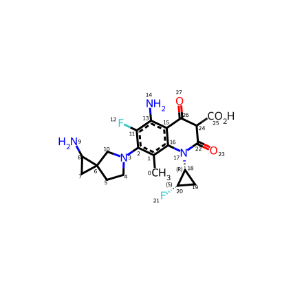 Cc1c(N2CCC3(CC3N)C2)c(F)c(N)c2c1N([C@@H]1C[C@@H]1F)C(=O)C(C(=O)O)C2=O